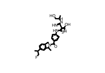 CC(CO)NC(=N)c1c(O)nsc1Nc1ccc(C(=O)N2Cc3ccc(C(C)CF)cc3C2C)cc1